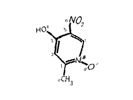 Cc1cc(O)c([N+](=O)[O-])c[n+]1[O-]